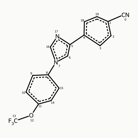 N#Cc1ccc(-c2cn(-c3ccc(OC(F)(F)F)cc3)cn2)cc1